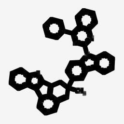 CC1(c2ccc3c(c2)c2ccccc2n3-c2nc(-c3ccccc3)c3ccccc3n2)C=c2cccc3c2=C(C1)c1sc2ccccc2c1-3